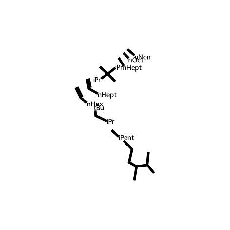 C=CCCCCCC.C=CCCCCCCC.CC(C)C(C)(C)C(C)C.CC(C)CC(C)(C)C.CCCC(C)C.CCCC(C)C(C)C.CCCCCCCC.CCCCCCCCC.CCCCCCCCCC